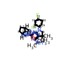 CNc1nc(N[C@H]2[C@@H]3CC[C@H]2CN(c2nnc(C)o2)C3)nc2c1C(C)(C)CN2c1ccc(F)cc1F